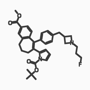 COC(=O)c1ccc2c(c1)CCCC(c1cccn1C(=O)OC(C)(C)C)=C2c1ccc(CC2CN(CCCF)C2)cc1